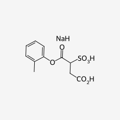 Cc1ccccc1OC(=O)C(CC(=O)O)S(=O)(=O)O.[NaH]